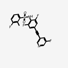 Cc1c(F)cccc1S(=O)(=O)Nc1c(F)cc(C#Cc2cncc(F)c2)cc1F